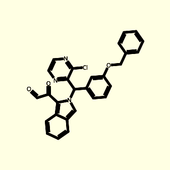 O=CC(=O)c1c2ccccc2cn1C(c1cccc(OCc2ccccc2)c1)c1nccnc1Cl